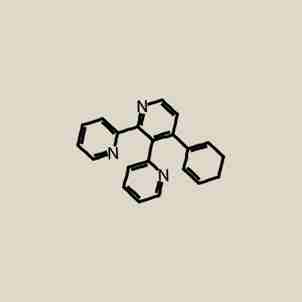 C1=CC(c2ccnc(-c3ccccn3)c2-c2ccccn2)=CCC1